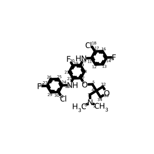 CN(C)CC1(COc2cc(Nc3ccc(F)cc3Cl)c(F)cc2Nc2ccc(F)cc2Cl)COC1